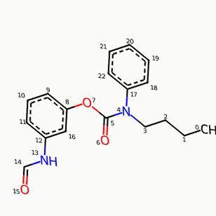 CCCCN(C(=O)Oc1cccc(NC=O)c1)c1ccccc1